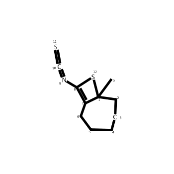 CC12CCCCCC1=C(N=C=S)S2